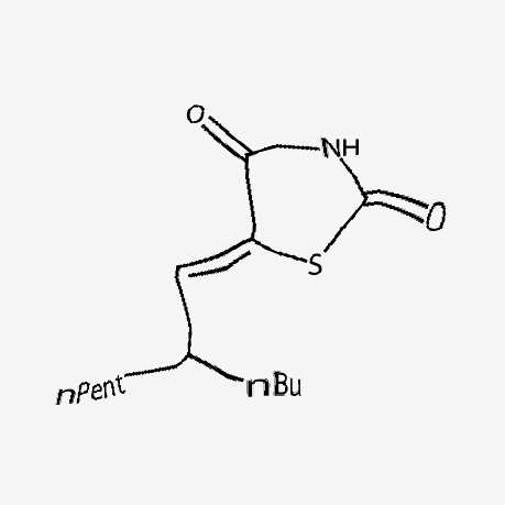 CCCCCC(/C=C1\SC(=O)NC1=O)CCCC